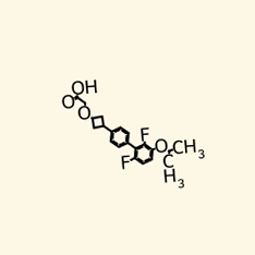 CC(C)Oc1ccc(F)c(-c2ccc(C3CC(OCC(=O)O)C3)cc2)c1F